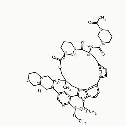 CCn1c(-c2cc(N3CCN4CCOC[C@@H]4C3)cnc2[C@H](C)OC)c2c3cc(ccc31)-c1csc(n1)C[C@H](NC(=O)[C@H]1CCCN(C(C)=O)C1)C(=O)N1CCC[C@H](N1)C(=O)OCC(C)(C)C2